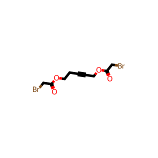 O=C(CBr)OCC#CCCOC(=O)CBr